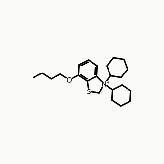 CCCCOc1cccc2c1S[CH][N+]2(C1CCCCC1)C1CCCCC1